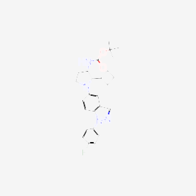 CC(C)(C)OC(=O)NC1CCN(c2ccc3c(cnn3-c3ccc(F)cc3)c2)C1C1CCC1